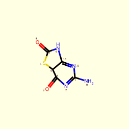 NC1=NC(=O)C2SC(=O)NC2=N1